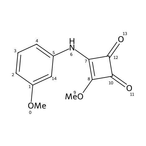 COc1cccc(Nc2c(OC)c(=O)c2=O)c1